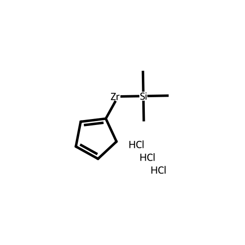 C[Si](C)(C)[Zr][C]1=CC=CC1.Cl.Cl.Cl